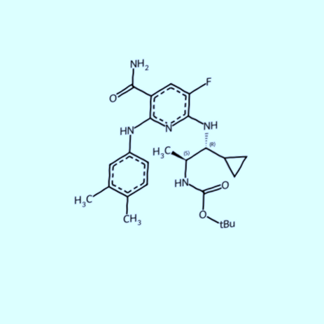 Cc1ccc(Nc2nc(N[C@H](C3CC3)[C@H](C)NC(=O)OC(C)(C)C)c(F)cc2C(N)=O)cc1C